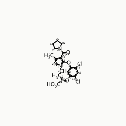 Cc1nn(C)c(Oc2cc(O[C@@H](C)C(=O)O)c(Cl)cc2Cl)c1C(=O)N1CCCC1